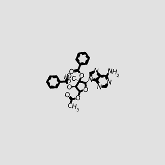 CC(=O)OC1O[C@@H](n2cnc3c(N)ncnc32)[C@](C)(OC(=O)c2ccccc2)[C@@H]1OC(=O)c1ccccc1